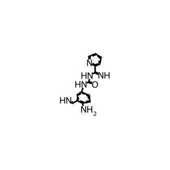 N=Cc1cc(NC(=O)NC(=N)c2ccccn2)ccc1N